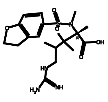 CC(CNC(=N)N)C(C)(C)[C@@](C)(C(=O)O)N(C)S(=O)(=O)c1ccc2c(c1)CCO2